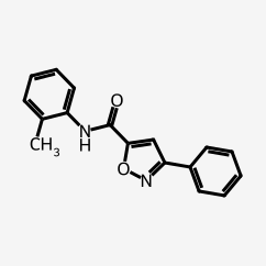 Cc1ccccc1NC(=O)c1cc(-c2ccccc2)no1